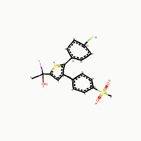 CC(O)(I)c1cc(-c2ccc(S(C)(=O)=O)cc2)c(-c2ccc(F)cc2)s1